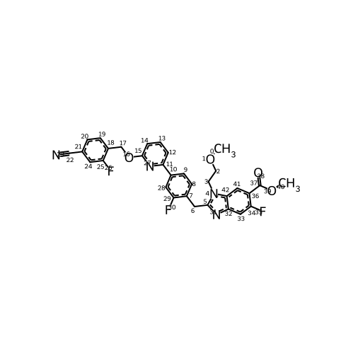 COCCn1c(Cc2ccc(-c3cccc(OCc4ccc(C#N)cc4F)n3)cc2F)nc2cc(F)c(C(=O)OC)cc21